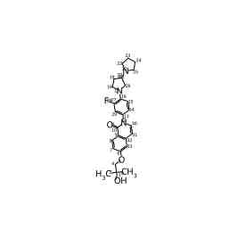 CC(C)(O)COc1ccc2c(=O)n(-c3ccc(N4CC[C@@H](N5CCCC5)C4)c(F)c3)ccc2c1